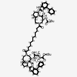 CC[C@@H](C)C(=O)N[C@H]1CN(C(=O)CCCCCCCCCCC(=O)N2CC[C@H]3CC[C@@H](c4nc5cccc(-c6ccccc6)c5[nH]4)N3C(=O)[C@@H](NC(=O)[C@H](C)N(C)C(=O)OC(C)(C)C)C2)CC[C@H]2CC[C@@H](c3nc4c(-c5ccccc5)cccc4[nH]3)N2C1=O